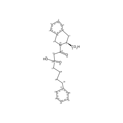 O=C(O)[C@@H]1Cc2ccccc2CN1C(=O)CP(=O)(O)CCCCc1ccccc1